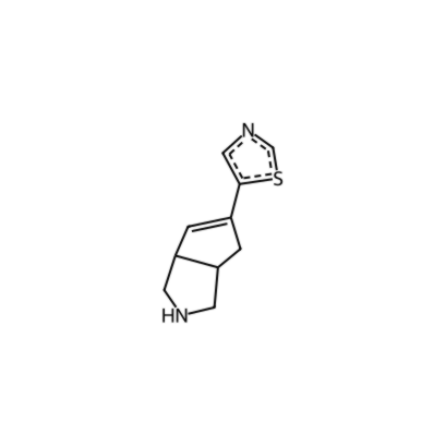 C1=C(c2cncs2)CC2CNCC12